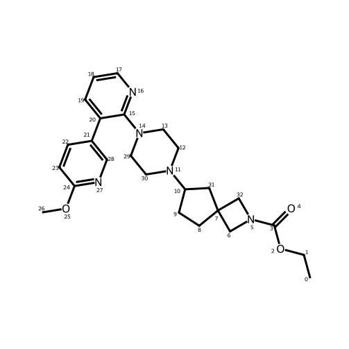 CCOC(=O)N1CC2(CCC(N3CCN(c4ncccc4-c4ccc(OC)nc4)CC3)C2)C1